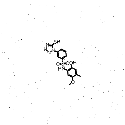 COc1cc(NS(=O)(=O)c2cccc(-n3nnnc3S)c2)c(O)cc1C